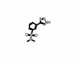 CN(C)S(=O)(=O)c1cccc(-c2nn[nH]n2)c1